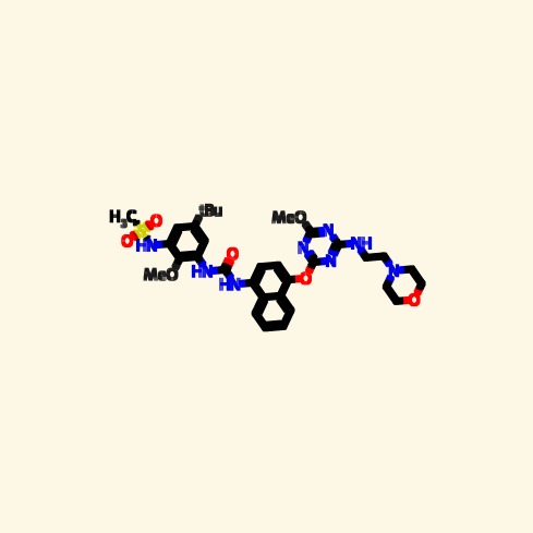 COc1nc(NCCN2CCOCC2)nc(Oc2ccc(NC(=O)Nc3cc(C(C)(C)C)cc(NS(C)(=O)=O)c3OC)c3ccccc23)n1